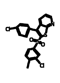 Cc1ccc(S(=O)(=O)c2sc3ncccc3c2-c2ccc(Cl)cc2)cc1Cl